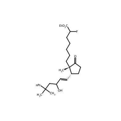 CCCC(C)(C)CC(O)C=C[C@H]1CCC(=O)[C@@]1(C)CCCCCC(F)C(=O)OCC